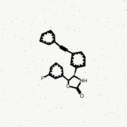 O=C1N[C@H](c2cccc(C#Cc3ccccc3)c2)C(c2cccc(F)c2)O1